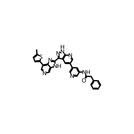 Cc1ccc(-c2cncc3[nH]c(-c4n[nH]c5ncc(-c6cncc(NC(=O)Cc7ccccc7)c6)cc45)nc23)s1